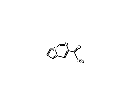 CC(C)(C)C(=O)c1cc2cccn2cn1